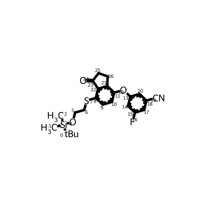 CC(C)(C)[Si](C)(C)OCCSc1ccc(Oc2cc(F)cc(C#N)c2)c2c1C(=O)CC2